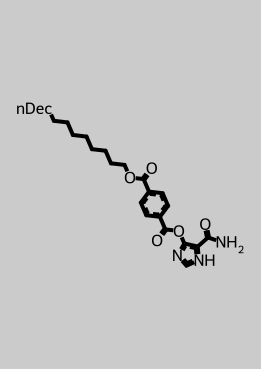 CCCCCCCCCCCCCCCCCCOC(=O)c1ccc(C(=O)Oc2nc[nH]c2C(N)=O)cc1